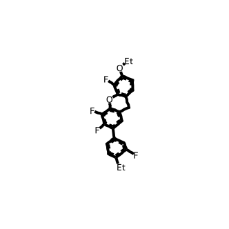 CCOc1ccc2c(c1F)Oc1c(cc(-c3ccc(CC)c(F)c3)c(F)c1F)C2